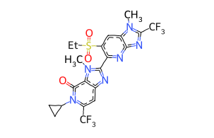 CCS(=O)(=O)c1cc2c(nc1-c1nc3cc(C(F)(F)F)n(C4CC4)c(=O)c3n1C)nc(C(F)(F)F)n2C